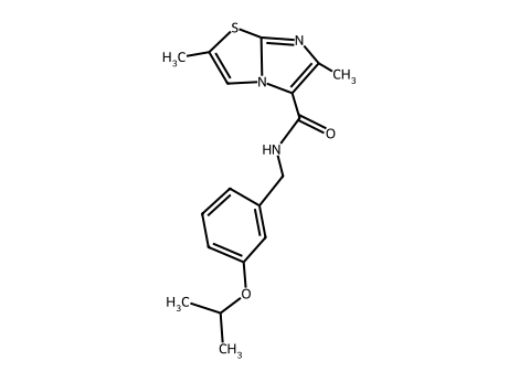 Cc1cn2c(C(=O)NCc3cccc(OC(C)C)c3)c(C)nc2s1